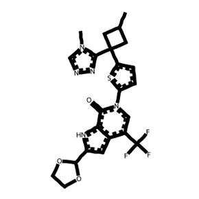 CC1CC(c2ccc(-n3cc(C(F)(F)F)c4cc(C5OCCO5)[nH]c4c3=O)s2)(c2nncn2C)C1